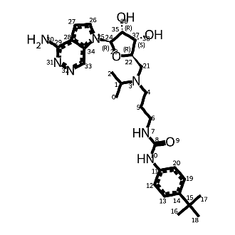 CC(C)N(CCCNC(=O)Nc1ccc(C(C)(C)C)cc1)C[C@H]1O[C@@H](n2ccc3c(N)nncc32)[C@H](O)[C@@H]1O